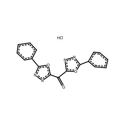 Cl.O=C(c1nnc(-c2ccccc2)o1)c1nnc(-c2ccccc2)o1